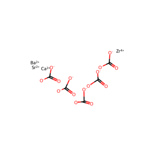 O=C([O-])[O-].O=C([O-])[O-].O=C([O-])[O-].O=C([O-])[O-].O=C([O-])[O-].[Ba+2].[Ca+2].[Sr+2].[Zr+4]